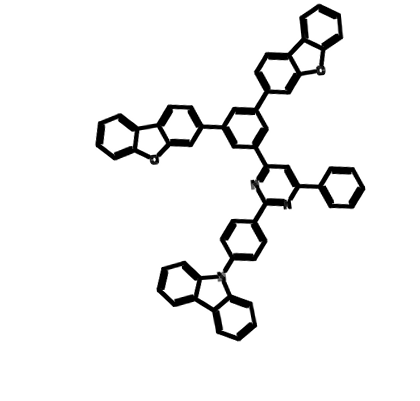 c1ccc(-c2cc(-c3cc(-c4ccc5c(c4)oc4ccccc45)cc(-c4ccc5c(c4)oc4ccccc45)c3)nc(-c3ccc(-n4c5ccccc5c5ccccc54)cc3)n2)cc1